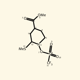 COC(=O)C1CCN(OS(=O)(=O)C(F)(F)F)C(SC)C1